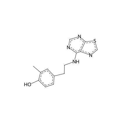 Cc1cc(CCNc2ncnc3scnc23)ccc1O